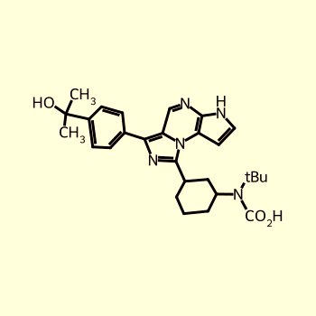 CC(C)(O)c1ccc(-c2nc(C3CCCC(N(C(=O)O)C(C)(C)C)C3)n3c2cnc2[nH]ccc23)cc1